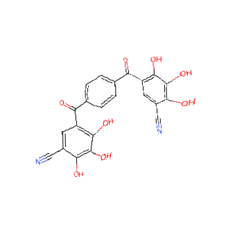 N#Cc1cc(C(=O)c2ccc(C(=O)c3cc(C#N)c(O)c(O)c3O)cc2)c(O)c(O)c1O